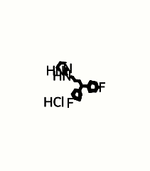 Cl.Fc1ccc(C(CCCNC2=NCCCN2)c2ccc(F)cc2)cc1